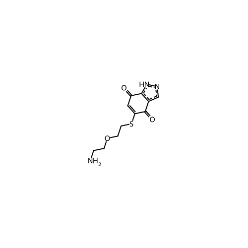 NCCOCCSC1=CC(=O)c2[nH]ncc2C1=O